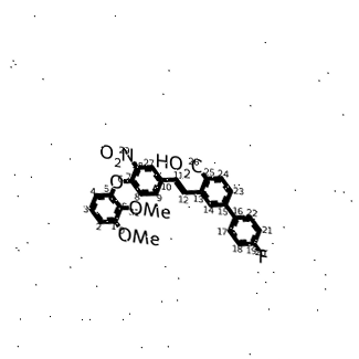 COc1cccc(Oc2ccc(C=Cc3cc(-c4ccc(F)cc4)ccc3C(=O)O)cc2[N+](=O)[O-])c1OC